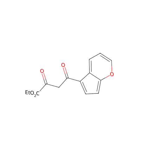 CCOC(=O)C(=O)CC(=O)c1ccc2occcc1-2